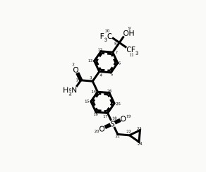 NC(=O)C(c1ccc(C(O)(C(F)(F)F)C(F)(F)F)cc1)c1ccc(S(=O)(=O)CC2CC2)cc1